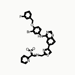 O=S(=O)=C(CNCc1nc(-c2ccc3ncnc(Nc4ccc(OCc5cccc(F)c5)c(Br)c4)c3c2)cs1)c1ccccn1